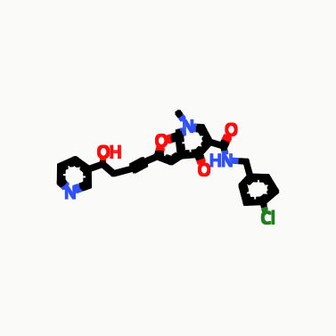 Cn1cc(C(=O)NCc2ccc(Cl)cc2)c(=O)c2cc(C#CCC(O)c3cccnc3)oc21